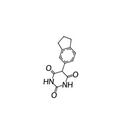 O=C1NC(=O)C(c2ccc3c(c2)CCC3)C(=O)N1